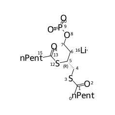 CCCCCC(=O)SC[C@@H](CCOP(=O)=O)SC(=O)CCCCC.[Li]